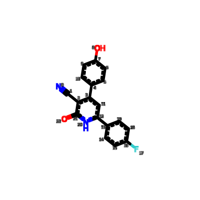 N#Cc1c(-c2ccc(O)cc2)cc(-c2ccc(F)cc2)[nH]c1=O